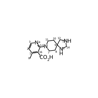 Cc1ccnc(N2CCC3(CC2)CNCN3)c1C(=O)O